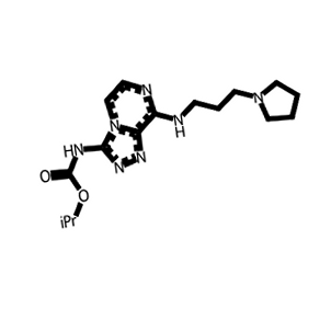 CC(C)OC(=O)Nc1nnc2c(NCCCN3CCCC3)nccn12